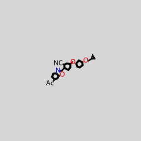 CC(=O)c1ccc2nc(-c3ccc(Oc4cccc(OCC5CC5)c4)cc3C#N)oc2c1